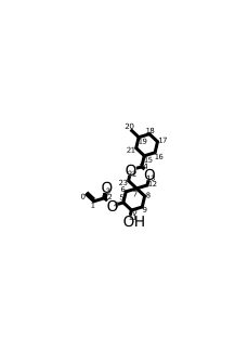 C=CC(=O)OC1CC2(CCC1O)COC(C1CCCC(C)C1)OC2